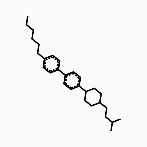 CCCCCCc1ccc(-c2ccc(C3CCC(CCC(C)C)CC3)cc2)cc1